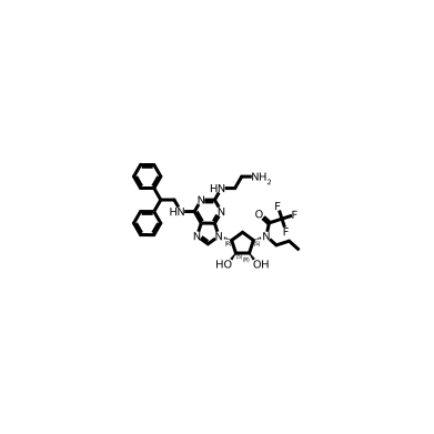 CCCN(C(=O)C(F)(F)F)[C@H]1C[C@@H](n2cnc3c(NCC(c4ccccc4)c4ccccc4)nc(NCCN)nc32)[C@H](O)[C@@H]1O